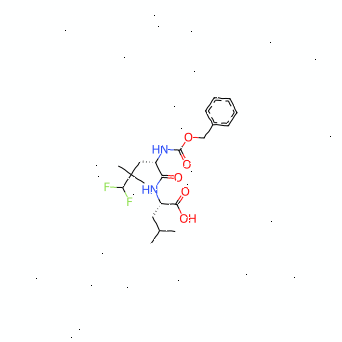 CC(C)C[C@H](NC(=O)[C@H](CC(C)(C)C(F)F)NC(=O)OCc1ccccc1)C(=O)O